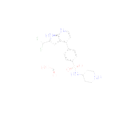 O=CO.O=S(=O)(NC1CCNCC1)c1ccc(-c2ccnc3[nH]c(C(F)F)cc23)cc1